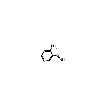 N=Cc1ccccc1P